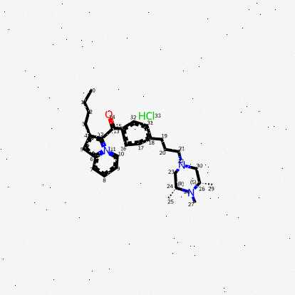 CCCCc1cc2ccccn2c1C(=O)c1ccc(CCCN2C[C@@H](C)N(C)[C@@H](C)C2)cc1.Cl